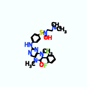 CN(C)CCN(O)Sc1ccc(Nc2ncc3c(n2)N(C)C(c2c(F)cccc2F)C(=O)N3C)cc1